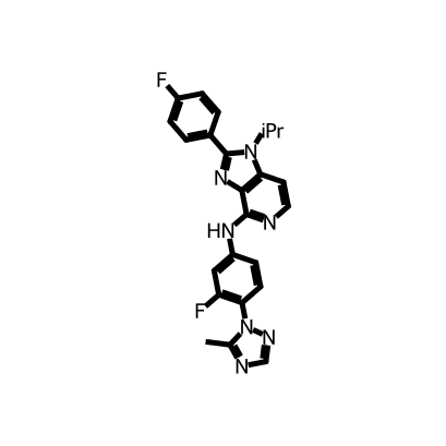 Cc1ncnn1-c1ccc(Nc2nccc3c2nc(-c2ccc(F)cc2)n3C(C)C)cc1F